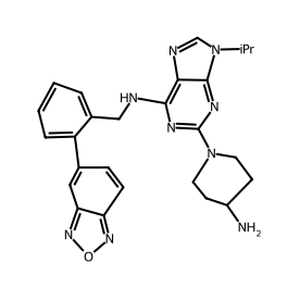 CC(C)n1cnc2c(NCc3ccccc3-c3ccc4nonc4c3)nc(N3CCC(N)CC3)nc21